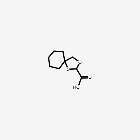 O=C(O)C1OCC2(CCCCC2)O1